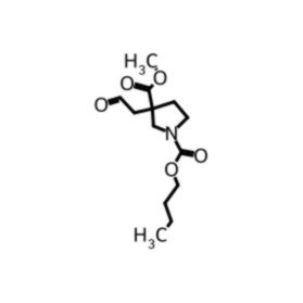 CCCCOC(=O)N1CCC(CC=O)(C(=O)OC)C1